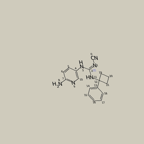 N#C/N=C(\Nc1ccc(N)nc1)NC1(c2ccccc2)CCC1